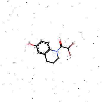 O=C(C(Br)Br)N1CCCc2cc(O)ccc21